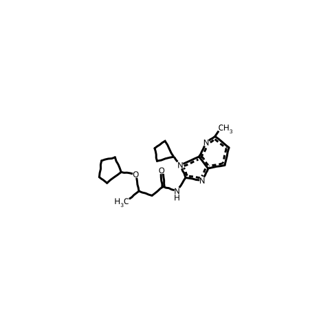 Cc1ccc2nc(NC(=O)CC(C)OC3CCCC3)n(C3CCC3)c2n1